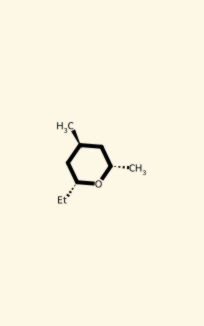 CC[C@@H]1C[C@@H](C)C[C@H](C)O1